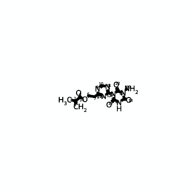 C=C(C)C(=O)OCCc1ncnc(-n2c(=O)[nH]c(=O)n(N)c2=O)n1